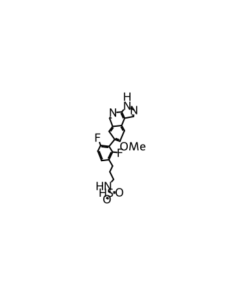 COc1cc2c(cnc3[nH]ncc32)cc1-c1c(F)ccc(CCCN[SH](=O)=O)c1F